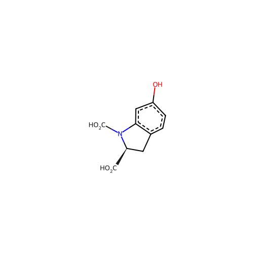 O=C(O)[C@@H]1Cc2ccc(O)cc2N1C(=O)O